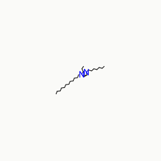 CCCCCCCCCCCCN1C=CN(CCCCCCC)C1CC